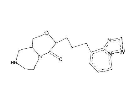 O=C1C(CCCc2cccn3ncnc23)OCC2CNCCN12